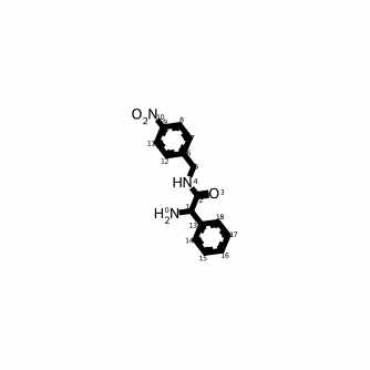 NC(C(=O)NCc1ccc([N+](=O)[O-])cc1)c1ccccc1